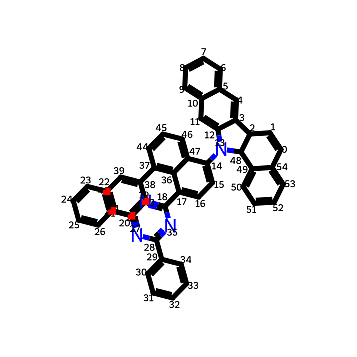 C1=CC2c3cc4ccccc4cc3N(c3ccc(-c4nc(-c5ccccc5)nc(-c5ccccc5)n4)c4c(-c5ccccc5)cccc34)C2c2ccccc21